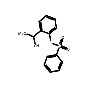 COC(C#N)c1ccccc1OS(=O)(=O)c1ccccc1